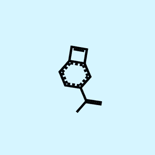 C=C(C)c1ccc2c(c1)C=C2